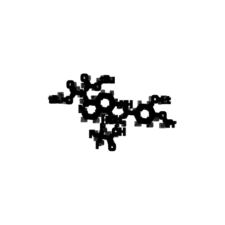 CCOc1cc(C(Nc2ccc3c(N(C(=O)OC(C)(C)C)C(=O)OC(C)(C)C)nccc3c2C)C(=O)O)ccc1OC(C)C.O=C(O)C(F)(F)F